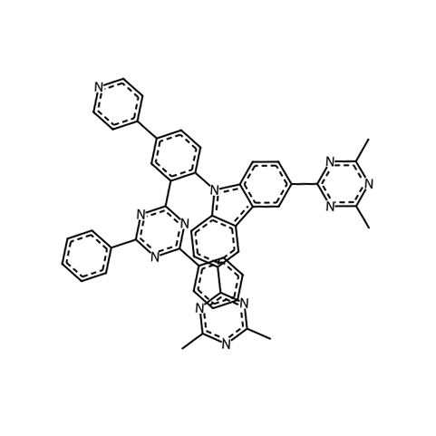 Cc1nc(C)nc(-c2ccc3c(c2)c2cc(-c4nc(C)nc(C)n4)ccc2n3-c2ccc(-c3ccncc3)cc2-c2nc(-c3ccccc3)nc(-c3ccccc3)n2)n1